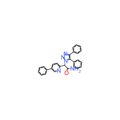 NC(=O)C(c1ccc(-c2ccccc2)cn1)n1nnc(-c2ccccc2)c1-c1ccccc1